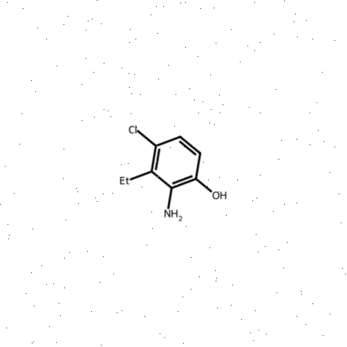 CCc1c(Cl)ccc(O)c1N